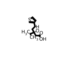 CC(C)[C@@](O)(CCc1ccsc1)CC(=O)O